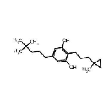 CC(C)(C)CCCc1cc(O)c(CCCC2(C)CC2)c(O)c1